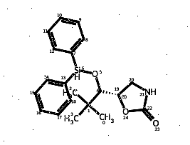 CC(C)(C)C(O[SiH](c1ccccc1)c1ccccc1)[C@@H]1CNC(=O)O1